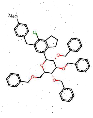 COc1ccc(Cc2cc(C3O[C@H](COCc4ccccc4)[C@@H](OCc4ccccc4)[C@H](OCc4ccccc4)[C@H]3OCc3ccccc3)c3c(c2Cl)CCC3)cc1